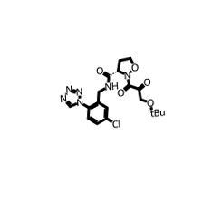 CC(C)(C)OCC(=O)C(=O)N1OCC[C@H]1C(=O)NCc1cc(Cl)ccc1-n1cnnn1